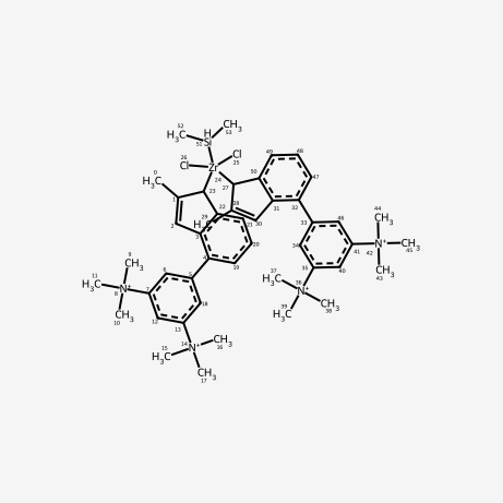 CC1=Cc2c(-c3cc([N+](C)(C)C)cc([N+](C)(C)C)c3)cccc2[CH]1[Zr]([Cl])([Cl])([CH]1C(C)=Cc2c(-c3cc([N+](C)(C)C)cc([N+](C)(C)C)c3)cccc21)[SiH](C)C